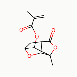 C=C(C)C(=O)OC1C2CC3C(=O)OC1(C)C3O2